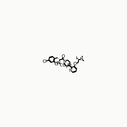 CCOC(=O)N[C@H](Cc1ccc(Cl)cc1Cl)C(=O)N1CCC(c2ncccc2OC[C@@H](I)N(C)C)CC1